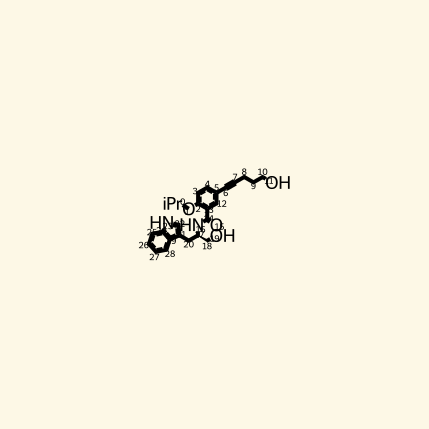 CC(C)Oc1ccc(C#CCCCO)cc1C(=O)N[C@@H](CO)Cc1c[nH]c2ccccc12